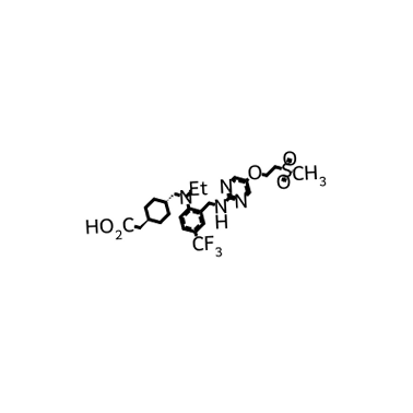 CCN(C[C@H]1CC[C@H](CC(=O)O)CC1)c1ccc(C(F)(F)F)cc1CNc1ncc(OCCS(C)(=O)=O)cn1